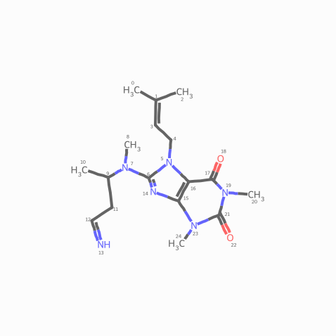 CC(C)=CCn1c(N(C)C(C)CC=N)nc2c1c(=O)n(C)c(=O)n2C